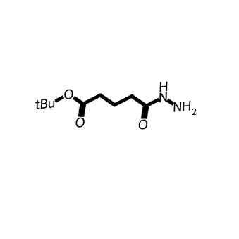 CC(C)(C)OC(=O)CCCC(=O)NN